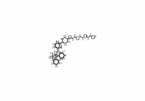 COCCOCCOCCO[C@H]1CC[C@@H](c2nccc(CO[Si](c3ccccc3)(c3ccccc3)C(C)(C)C)n2)CC1